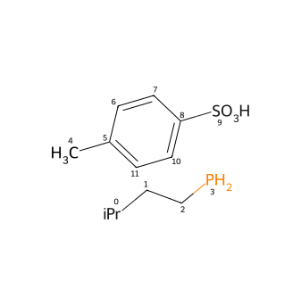 CC(C)CCP.Cc1ccc(S(=O)(=O)O)cc1